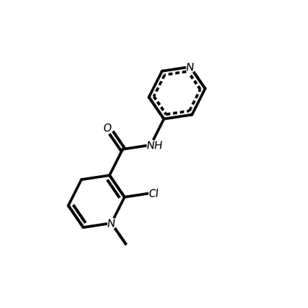 CN1C=CCC(C(=O)Nc2ccncc2)=C1Cl